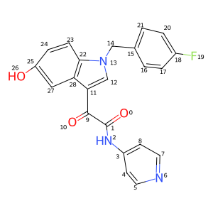 O=C(Nc1ccncc1)C(=O)c1cn(Cc2ccc(F)cc2)c2ccc(O)cc12